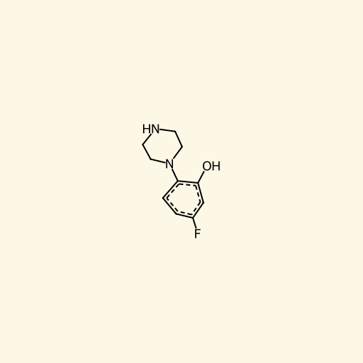 Oc1cc(F)ccc1N1CCNCC1